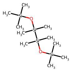 C[Si](C)(C)O[Si](C)(C)[Si](C)(C)O[Si](C)(C)C